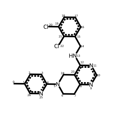 Cc1ccc(N2CCc3ncnc(NCc4cccc(Cl)c4Cl)c3C2)nc1